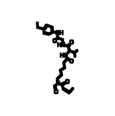 C/C=C\C(=O)N(C=O)CCCCCC(=O)NC(C(=O)NCC(=O)Nc1ccc(CC)cc1)C(C)C